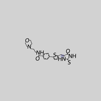 O=C1NC(=S)N/C1=C\c1ccc(-c2ccc(C(=O)NCCCN3CCOCC3)cc2)s1